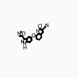 N#Cc1cc2c(nc1Cl)[C@H](Oc1ccc3[nH]nc(-c4cnco4)c3c1)CCC2